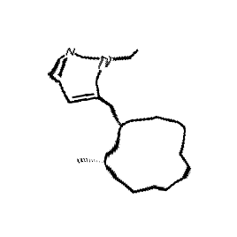 C[C@H]1CCCCC[C@@H]1c1ccnn1C